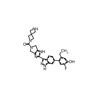 CCc1cc(O)c(F)cc1-c1ccc2c(-c3nc4c([nH]3)CN(C(=O)N3CC5(CNC5)C3)C4)n[nH]c2c1